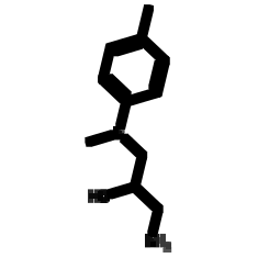 Cc1ccc(N(C)CC(O)CN)cc1